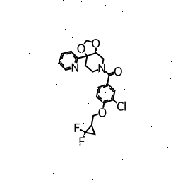 O=C(c1ccc(OCC2CC2(F)F)c(Cl)c1)N1CCC2(c3ccccn3)OCOC2C1